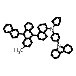 Cc1ccc2c(-c3cccc4c(N(c5ccccc5)c5ccc(-n6c7ccccc7c7ccccc76)cc5)cccc34)c3ccccc3c(-c3ccc4ccccc4c3)c2c1